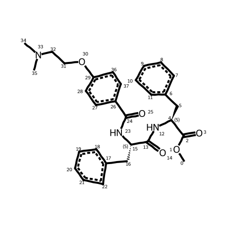 COC(=O)[C@H](Cc1ccccc1)NC(=O)[C@H](Cc1ccccc1)NC(=O)c1ccc(OCCN(C)C)cc1